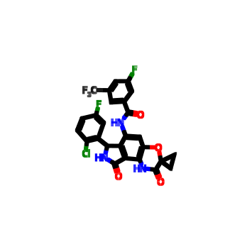 O=C(Nc1cc2c(c3c1C(c1cc(F)ccc1Cl)NC3=O)NC(=O)C1(CC1)O2)c1cc(F)cc(C(F)(F)F)c1